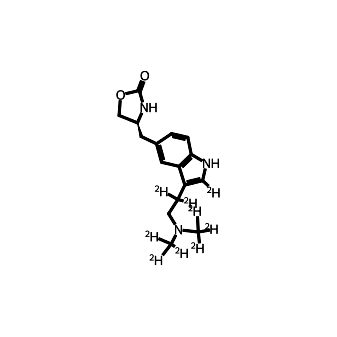 [2H]c1[nH]c2ccc(C[C@H]3COC(=O)N3)cc2c1C([2H])([2H])CN(C([2H])([2H])[2H])C([2H])([2H])[2H]